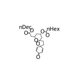 CCCCCCCCCCOC(=O)CC1CC(OC(=O)CCCCCC)CC2(CCC3(C=CC(=O)C=C3)O2)O1